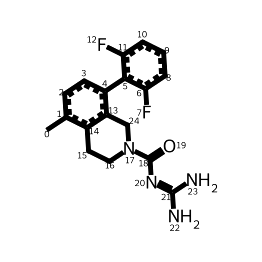 Cc1ccc(-c2c(F)cccc2F)c2c1CCN(C(=O)N=C(N)N)C2